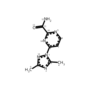 Cc1nc(C)n(-c2ccnc(C(N)=O)n2)n1